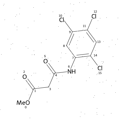 COC(=O)CC(=O)Nc1cc(Cl)c(Cl)cc1Cl